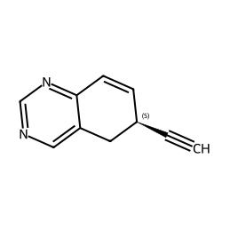 C#C[C@@H]1C=Cc2ncncc2C1